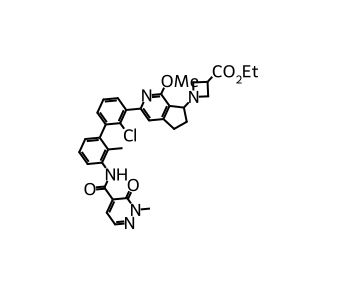 CCOC(=O)C1CN(C2CCc3cc(-c4cccc(-c5cccc(NC(=O)c6ccnn(C)c6=O)c5C)c4Cl)nc(OC)c32)C1